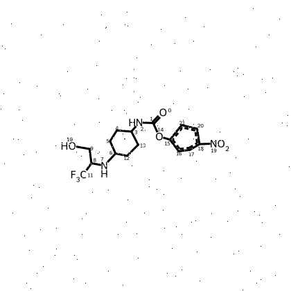 O=C(NC1CCC(NC(CO)C(F)(F)F)CC1)Oc1ccc([N+](=O)[O-])cc1